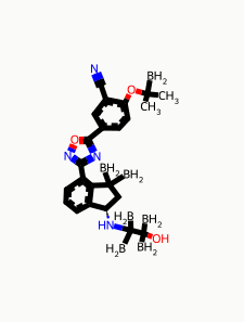 BC(C)(C)Oc1ccc(-c2nc(-c3cccc4c3C(B)(B)C[C@@H]4NC(B)(B)C(B)(B)O)no2)cc1C#N